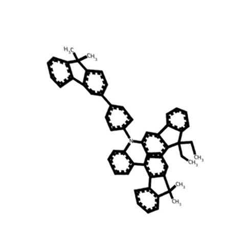 CCC1(CC)c2ccccc2-c2cc(N(c3ccc(-c4ccc5c(c4)-c4ccccc4C5(C)C)cc3)c3ccccc3-c3cccc4c3-c3ccccc3C4(C)C)ccc21